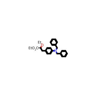 CCOC(=O)[C@H](Cc1ccc(N(Cc2ccccc2)Cc2ccccc2)cc1)OCC